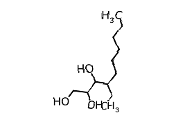 CCCCCCC(CC)C(O)C(O)CO